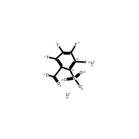 O=C([O-])c1c(F)c(F)c(F)c(F)c1S(=O)(=O)[O-].[Li+].[Li+]